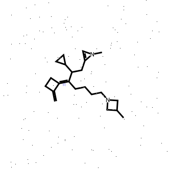 C=C1CC/C1=C(/CCCCN1CC(C)C1)C(CC1=CN1C)C1CC1